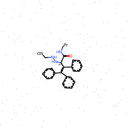 CC(C)NC(=O)[C@H](NNCN=O)C(=C(c1ccccc1)c1ccccc1)c1ccccc1